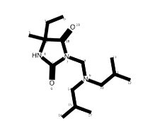 CCC1(C)NC(=O)N(CN(CC(C)C)CC(C)C)C1=O